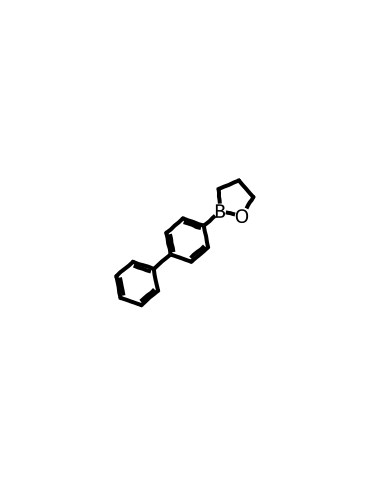 c1ccc(-c2ccc(B3CCCO3)cc2)cc1